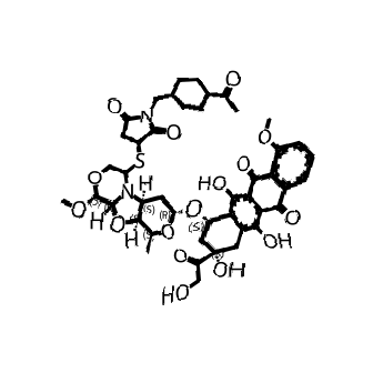 COc1cccc2c1C(=O)c1c(O)c3c(c(O)c1C2=O)C[C@@](O)(C(=O)CO)C[C@@H]3O[C@H]1C[C@H]2[C@H](O[C@@H]3[C@@H](OC)OCC(SC4CC(=O)N(CC5CCC(C(C)=O)CC5)C4=O)N32)[C@H](C)O1